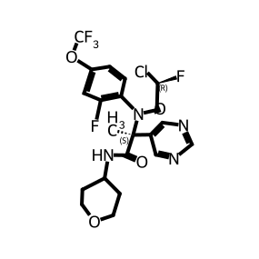 C[C@@](C(=O)NC1CCOCC1)(c1cncnc1)N(C(=O)[C@H](F)Cl)c1ccc(OC(F)(F)F)cc1F